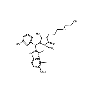 COc1ccc2[nH]c3c(c2c1F)C[C@@]1(C)C(=O)N(CCCNCCO)C(O)N1[C@@H]3c1cccc(O)c1